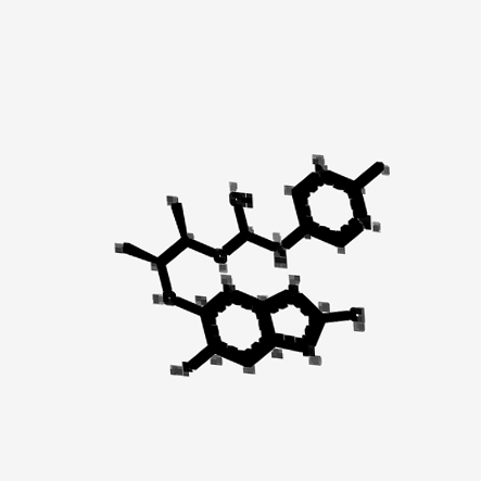 Cc1ncc(NC(O)O[C@H](C)[C@H](C)Oc2nc3sc(Cl)nc3cc2F)cn1